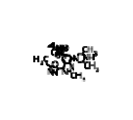 CCc1nnc(-c2nc(C)nc3c(N4C[C@H](C)N[C@@H](C)C4)cc(S(=O)(=O)NC4(C)CC4)cc23)o1